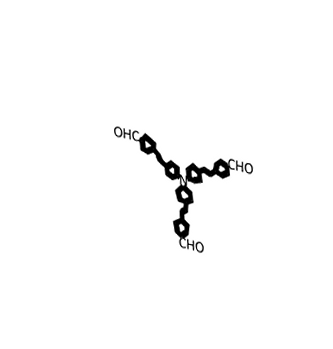 O=Cc1ccc(C=Cc2ccc(N(c3ccc(C=Cc4ccc(C=O)cc4)cc3)c3ccc(C=Cc4ccc(C=O)cc4)cc3)cc2)cc1